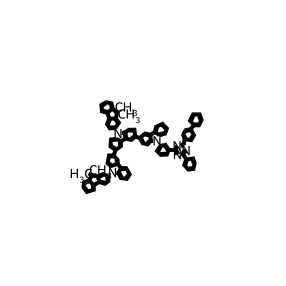 CC1(C)c2ccccc2-c2ccc(-n3c4ccccc4c4cc(-c5ccc6c(c5)c5cc(-c7ccc8c(c7)c7ccccc7n8-c7cccc(-c8nc(-c9ccccc9)nc(-c9ccc(-c%10ccccc%10)cc9)n8)c7)ccc5n6-c5ccc6c(c5)C(C)(C)c5ccccc5-6)ccc43)cc21